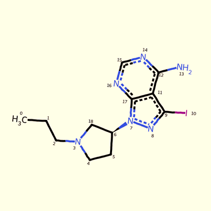 CCCN1CC[C@H](n2nc(I)c3c(N)ncnc32)C1